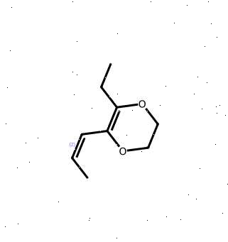 C/C=C\C1=C(CC)OCCO1